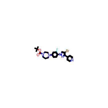 CC(C)(C)OC(=O)N1CCCN(c2ccc(-n3cc(Br)c(-c4ccncc4)n3)c(F)c2)CC1